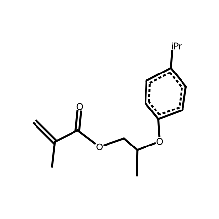 C=C(C)C(=O)OCC(C)Oc1ccc(C(C)C)cc1